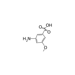 COc1cc(N)cc(S(=O)(=O)O)c1